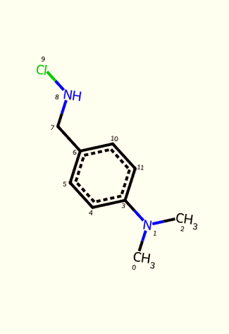 CN(C)c1ccc(CNCl)cc1